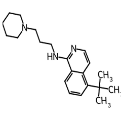 CC(C)(C)c1cccc2c(NCCCN3CCCCC3)nccc12